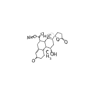 COC(=O)[C@@H]1CC2=CC(=O)CC[C@]2(C)C2C1C1CC[C@@]3(CCC(=O)O3)[C@@]1(C)C[C@H]2O